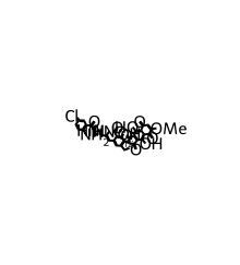 COC1=CC(=O)c2c(O)c3c(c(O)c2C1=O)C(=O)[C@]1(CCc2cc4cc(C=NNC(=O)c5cc(Cl)ccc5N)[nH]c(=O)c4c(O)c21)C3=O